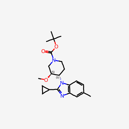 CO[C@H]1CN(C(=O)OC(C)(C)C)CC[C@@H]1n1c(C2CC2)nc2cc(C)ccc21